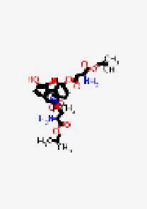 CC(C)COC(=O)[C@@H](N)CC(=O)OC1=CC[C@@]2(OC(=O)C[C@H](N)C(=O)OCC(C)C)[C@H]3Cc4ccc(O)c5c4[C@@]2(CCN3C)[C@H]1O5